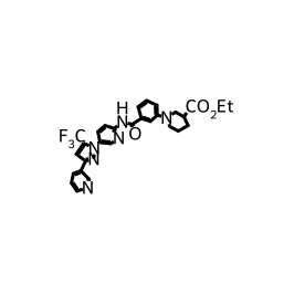 CCOC(=O)C1CCCN(c2cccc(C(=O)Nc3ccc(-n4nc(-c5cccnc5)cc4C(F)(F)F)cn3)c2)C1